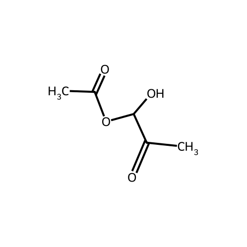 CC(=O)OC(O)C(C)=O